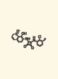 O=c1c(Nc2ccc3c(c2O)[S+]([O-])CC=C3)c(Nc2cccc(F)c2Cl)c1=O